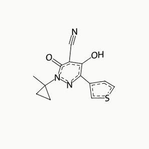 CC1(n2nc(-c3ccsc3)c(O)c(C#N)c2=O)CC1